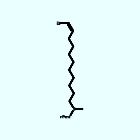 CC/C=C\CCCCCCCCCN(C)CCCCC